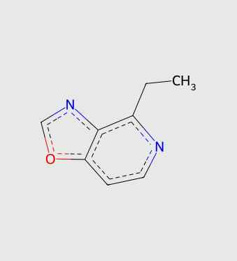 CCc1nccc2ocnc12